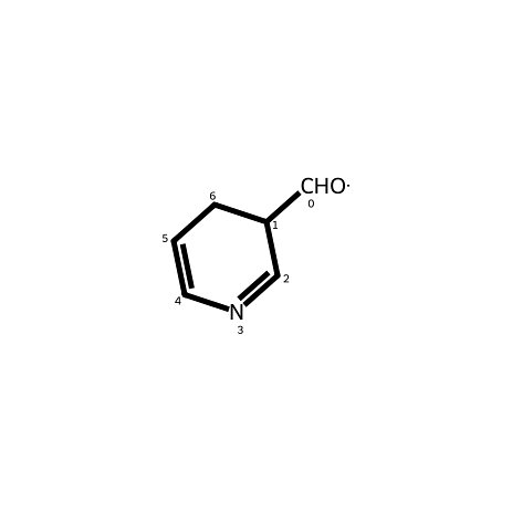 O=[C]C1C=NC=CC1